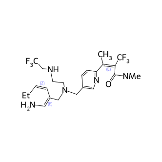 CC/C=C\C(=C/N)CN(CCNCC(F)(F)F)Cc1ccc(/C(C)=C(\C(=O)NC)C(F)(F)F)nc1